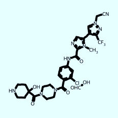 Cn1c(-c2cn(CC#N)nc2C(F)(F)F)cnc1C(=O)Nc1ccc(C(=O)N2CCN(C(=O)C3(O)CCNCC3)CC2)c(Cl)c1.O=CO